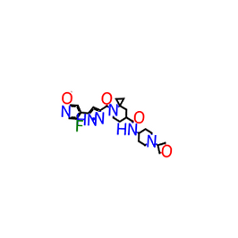 COc1cc(-c2cc(C(=O)N3CCC(C(=O)NC4CCN(C5COC5)CC4)CC34CC4)n[nH]2)c(F)cn1